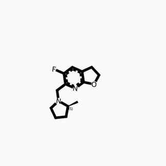 C[C@H]1CCCN1Cc1nc2c(cc1F)CCO2